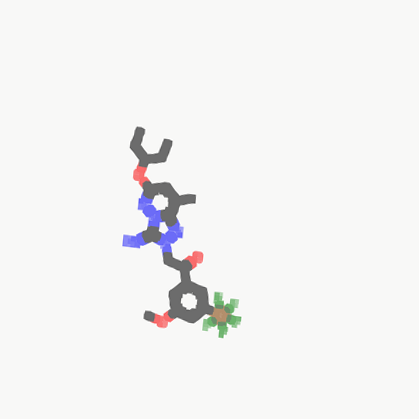 CCC(CC)Oc1cc(C)c2nn(CC(=O)c3cc(OC)cc(S(F)(F)(F)(F)F)c3)c(=N)n2n1